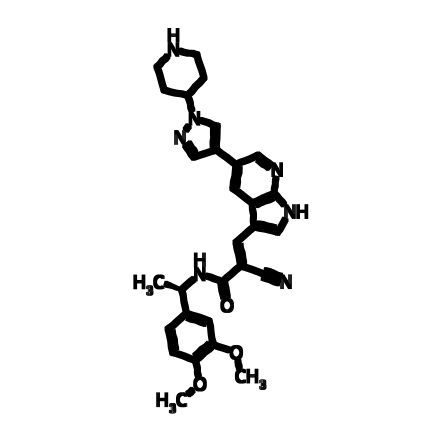 COc1ccc([C@@H](C)NC(=O)/C(C#N)=C/c2c[nH]c3ncc(-c4cnn(C5CCNCC5)c4)cc23)cc1OC